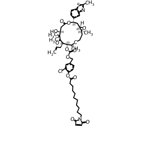 C=CC[C@H]1C(=O)C(C)(C)[C@@H](O)CC(=O)O[C@H](c2ccc3sc(C)nc3c2)C[C@H]2O[C@@]2(C)CCC[C@H](C)[C@@H]1OC(=O)OCc1ccc(OC(=O)CCCCCCCCCCN2C(=O)C=CC2=O)c(Cl)c1